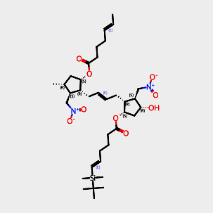 C/C=C/CCCC(=O)O[C@H]1C[C@@H](C)[C@H](C[N+](=O)[O-])[C@H]1C/C=C/C[C@@H]1[C@@H](C[N+](=O)[O-])[C@H](O)C[C@@H]1OC(=O)CCC/C=C/[Si](C)(C)C(C)(C)C